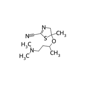 CC(CCN(C)C)OC1(C)CN=C(C#N)S1